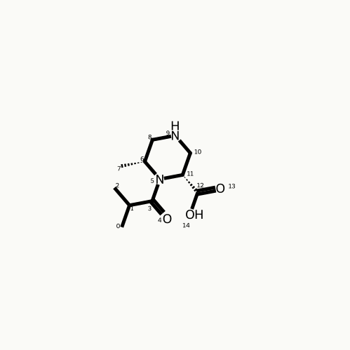 CC(C)C(=O)N1[C@H](C)CNC[C@@H]1C(=O)O